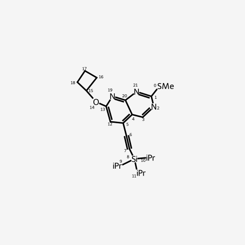 CSc1ncc2c(C#C[Si](C(C)C)(C(C)C)C(C)C)cc(OC3CCC3)nc2n1